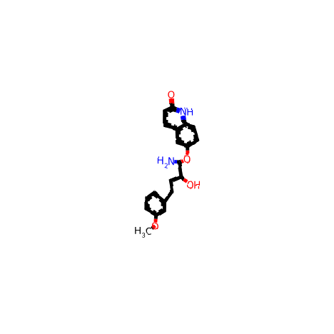 COc1cccc(CCC(O)C(N)Oc2ccc3[nH]c(=O)ccc3c2)c1